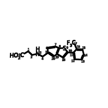 O=C(O)CCNCc1ccc2sc(-c3ccccc3C(F)(F)F)cc2c1